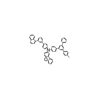 Cc1ccc(-c2cc(-c3ccccc3)cc(-c3ccc(N(c4ccc(-c5cccc(-c6cccc7ccccc67)c5)cc4)c4ccc5oc6ccccc6c5c4)cc3)c2)cc1